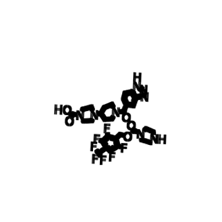 O=C(O)N1CCN(C2CCN(C(=O)c3ccc4[nH]nnc4c3)CC2)CC1.O=C(OCc1c(F)c(F)c(C(F)(F)F)c(F)c1F)N1CCNCC1